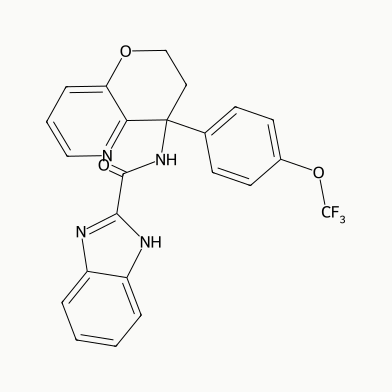 O=C(NC1(c2ccc(OC(F)(F)F)cc2)CCOc2cccnc21)c1nc2ccccc2[nH]1